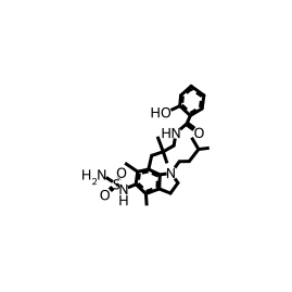 Cc1c2c(c(CC(C)(C)CNC(=O)c3ccccc3O)c(C)c1NS(N)(=O)=O)N(CCC(C)C)CC2